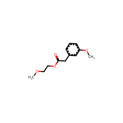 COCCOC(=O)Cc1cccc(OC)c1